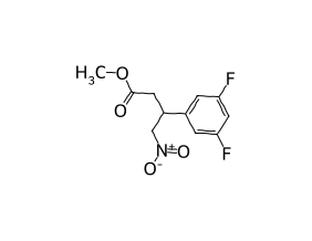 COC(=O)CC(C[N+](=O)[O-])c1cc(F)cc(F)c1